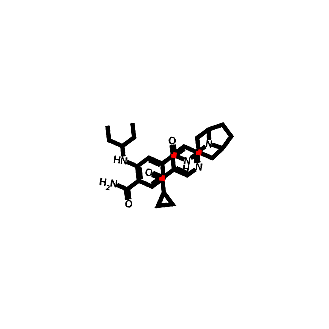 CCC(CC)Nc1cc(C(=O)NC2CC3CCC(C2)N3c2ccc(C(=O)C3CC3)cn2)ccc1C(N)=O